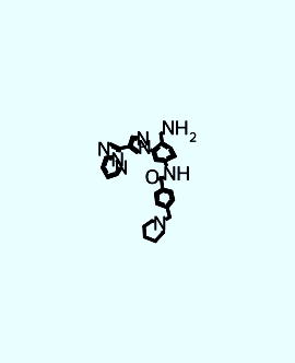 NCc1ccc(NC(=O)c2ccc(CN3CCCCC3)cc2)cc1-n1cc(-c2cnc3cccnn23)cn1